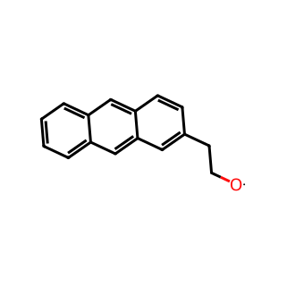 [O]CCc1ccc2cc3ccccc3cc2c1